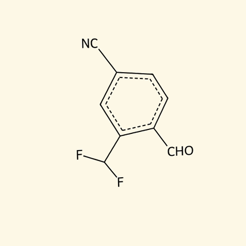 N#Cc1ccc(C=O)c(C(F)F)c1